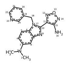 CN(C)c1ccc2c(c1)nc(-c1nonc1N)n2Cc1cccnc1